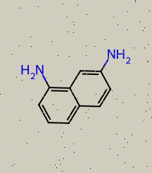 Nc1ccc2cccc(N)c2c1